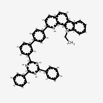 CCn1c2ccccc2c2ccc3ccc(-c4ccc(-c5cccc(-c6nc(-c7ccccc7)nc(-c7ccccc7)n6)c5)cc4)nc3c21